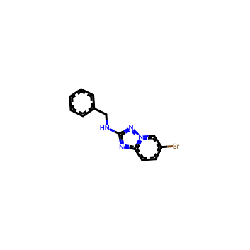 Brc1ccc2nc(NCc3ccccc3)nn2c1